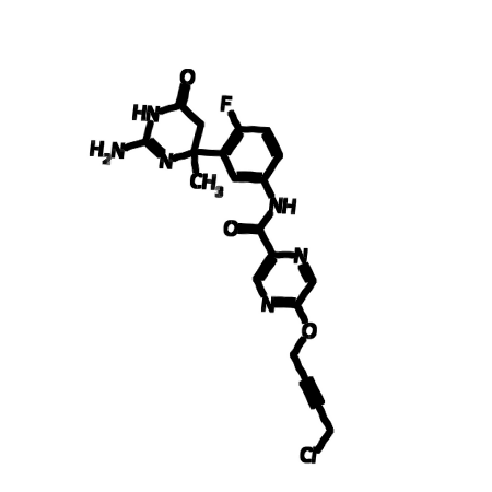 CC1(c2cc(NC(=O)c3cnc(OCC#CCCl)cn3)ccc2F)CC(=O)NC(N)=N1